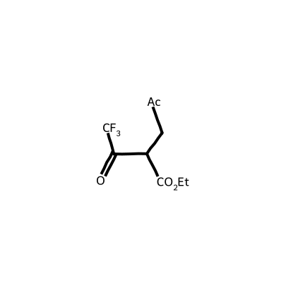 CCOC(=O)C(CC(C)=O)C(=O)C(F)(F)F